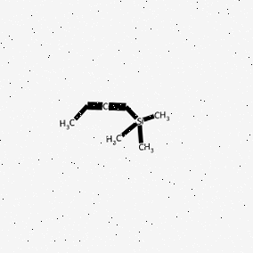 CC=C=C[Si](C)(C)C